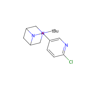 CC(C)(C)N1CC2CC(C1)N2Cc1ccc(Cl)nc1